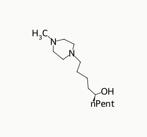 CCCCC[C@H](O)CCCCN1CCN(C)CC1